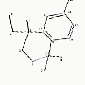 CCC1(C)CCC(C)(C)c2ccc(C)cc21